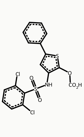 O=C(O)Oc1sc(-c2ccccc2)cc1NS(=O)(=O)c1c(Cl)cccc1Cl